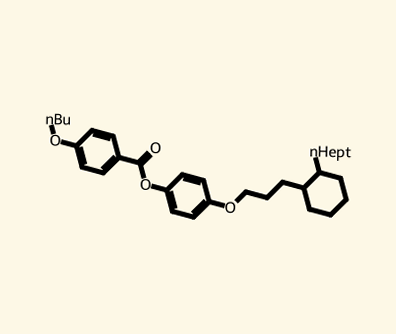 CCCCCCCC1CCCCC1CCCOc1ccc(OC(=O)c2ccc(OCCCC)cc2)cc1